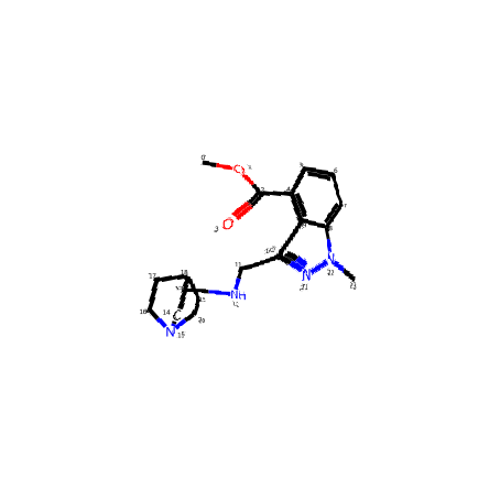 COC(=O)c1cccc2c1c(CNC1CN3CCC1CC3)nn2C